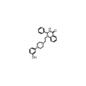 O=C1NC(c2ccccc2)N(CCN2CCN(c3cccc(O)c3)CC2)c2ccccc21